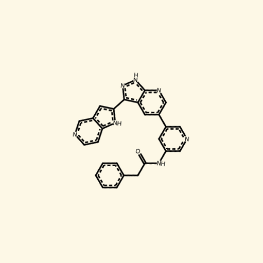 O=C(Cc1ccccc1)Nc1cncc(-c2cnc3[nH]nc(-c4cc5cnccc5[nH]4)c3c2)c1